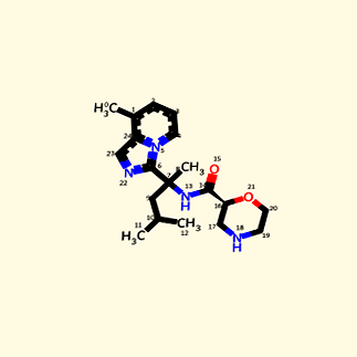 Cc1cccn2c(C(C)(CC(C)C)NC(=O)[C@@H]3CNCCO3)ncc12